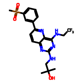 CC(C)(O)CNc1nc(NCC(F)(F)F)c2nc(-c3cccc(S(C)(=O)=O)c3)ccc2n1